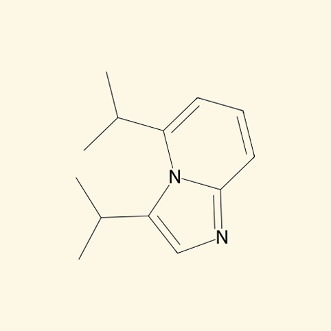 CC(C)c1cccc2ncc(C(C)C)n12